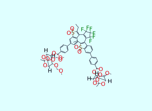 CCC1=C(C2=C(C3=C(CC)S(=O)(=O)c4cc(-c5ccc(C(=O)OC6C7OC8(C)O[C@@H](C7OCOC)[C@H](OCOC)[C@H]6O8)cc5)ccc43)C(F)(F)C(F)(F)C2(F)F)c2ccc(-c3ccc(C(=O)OC4C5OC6(C)O[C@H](C5C)[C@@H](OCOC)[C@@H]4O6)cc3)cc2S1(=O)=O